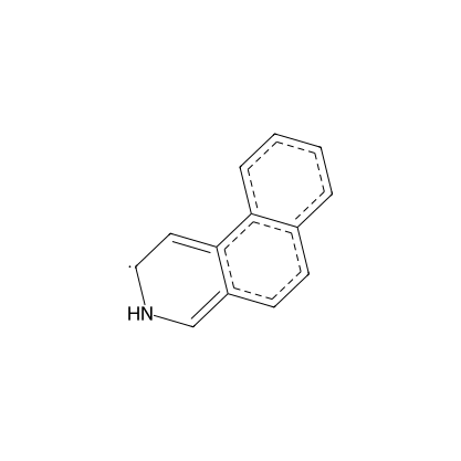 [CH]1C=c2c(ccc3ccccc23)=CN1